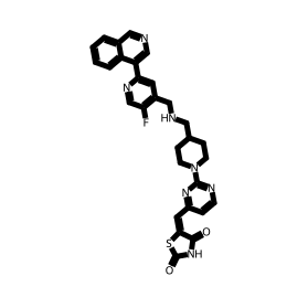 O=C1NC(=O)/C(=C\c2ccnc(N3CCC(CNCc4cc(-c5cncc6ccccc56)ncc4F)CC3)n2)S1